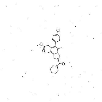 COC(=O)Cc1c(C)c2c(c(C)c1-c1ccc(Cl)cc1)CN(C(=O)N1CCCCC1)C2